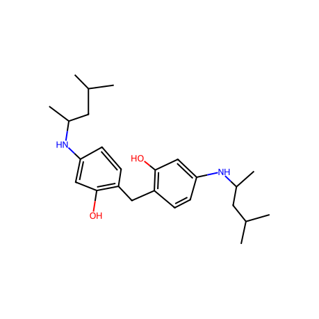 CC(C)CC(C)Nc1ccc(Cc2ccc(NC(C)CC(C)C)cc2O)c(O)c1